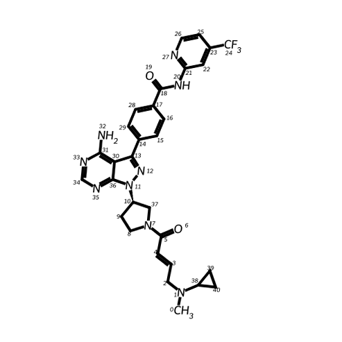 CN(C/C=C/C(=O)N1CC[C@@H](n2nc(-c3ccc(C(=O)Nc4cc(C(F)(F)F)ccn4)cc3)c3c(N)ncnc32)C1)C1CC1